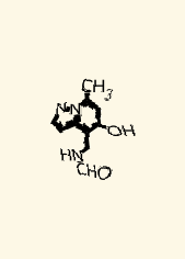 Cc1cc(O)c(CNC=O)c2ccnn12